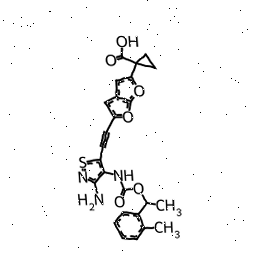 Cc1ccccc1C(C)OC(=O)Nc1c(N)nsc1C#Cc1cc2cc(C3(C(=O)O)CC3)oc2o1